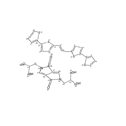 C(=C\c1ccc(-c2cccs2)s1)/c1ccc(-c2cccs2)s1.CCCCCCCCCCC(CCCCCCCCCC)CN1C=C2C(=O)N(CC(CCCCCCCCCC)CCCCCCCCCC)C=C2C1=O